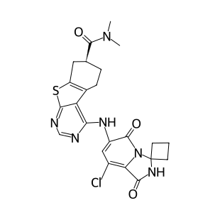 CN(C)C(=O)[C@H]1CCc2c(sc3ncnc(Nc4cc(Cl)c5n(c4=O)C4(CCC4)NC5=O)c23)C1